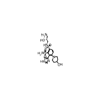 NC[C@@H](O)CNS(=O)(=O)c1ccc(N2CCC(O)CC2)c(-c2nn[nH]n2)c1S(N)(=O)=O